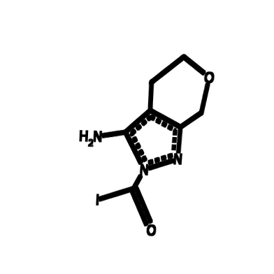 Nc1c2c(nn1C(=O)I)COCC2